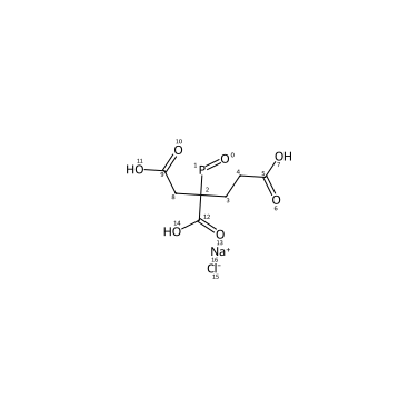 O=PC(CCC(=O)O)(CC(=O)O)C(=O)O.[Cl-].[Na+]